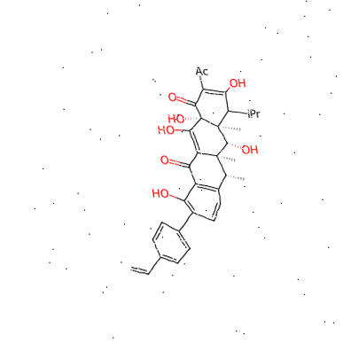 C=Cc1ccc(-c2ccc3c(c2O)C(=O)C2=C(O)[C@@]4(O)C(=O)C(C(C)=O)=C(O)C(C(C)C)[C@@]4(C)[C@H](O)[C@@]2(C)[C@@H]3C)cc1